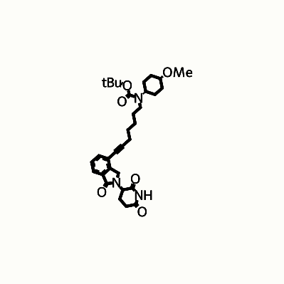 CO[C@H]1CC[C@H](N(CCCCCC#Cc2cccc3c2CN(C2CCC(=O)NC2=O)C3=O)C(=O)OC(C)(C)C)CC1